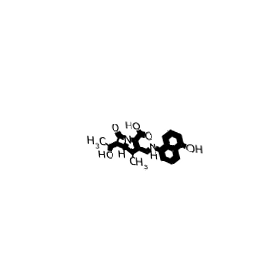 C[C@@H](O)[C@H]1C(=O)N2C(C(=O)O)=C(CNc3cccc4c(O)cccc34)[C@H](C)[C@H]12